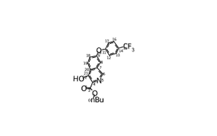 CCCCOC(=O)c1ncc2cc(Oc3ccc(C(F)(F)F)cc3)ccc2c1O